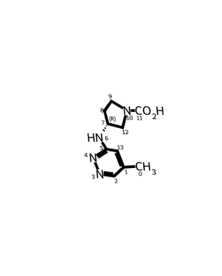 Cc1cnnc(N[C@@H]2CCN(C(=O)O)C2)c1